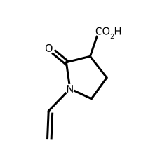 C=CN1CCC(C(=O)O)C1=O